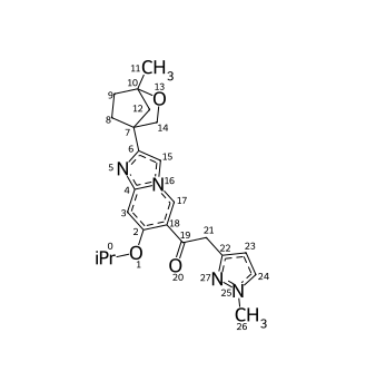 CC(C)Oc1cc2nc(C34CCC(C)(C3)OC4)cn2cc1C(=O)Cc1ccn(C)n1